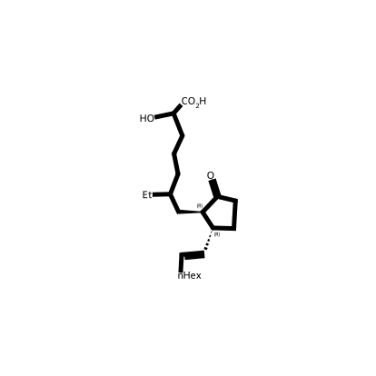 CCCCCCC=C[C@H]1CCC(=O)[C@@H]1CC(CC)CCCC(O)C(=O)O